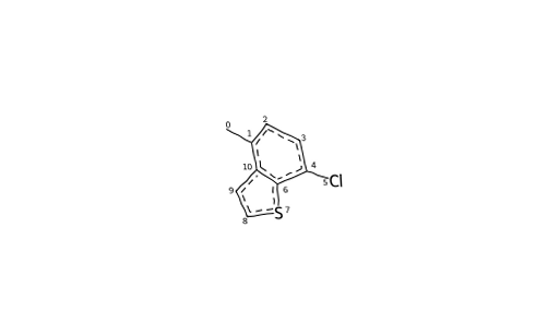 Cc1ccc(Cl)c2sccc12